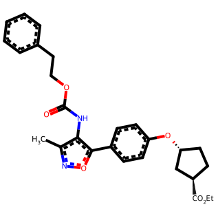 CCOC(=O)[C@@H]1CC[C@@H](Oc2ccc(-c3onc(C)c3NC(=O)OCCc3ccccc3)cc2)C1